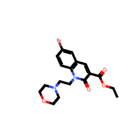 CCOC(=O)c1cc2cc(Br)ccc2n(CCN2CCOCC2)c1=O